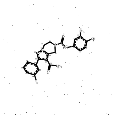 N#Cc1ccc(NC(=O)N2CCn3nc(-c4cccc(F)c4)c(C(N)=O)c3C2)cc1C(F)(F)F